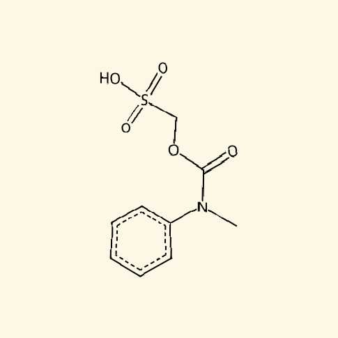 CN(C(=O)OCS(=O)(=O)O)c1ccccc1